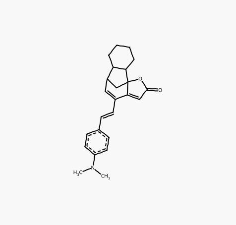 CN(C)c1ccc(C=CC2=CC3CC4(OC(=O)C=C24)C2CCCCC32)cc1